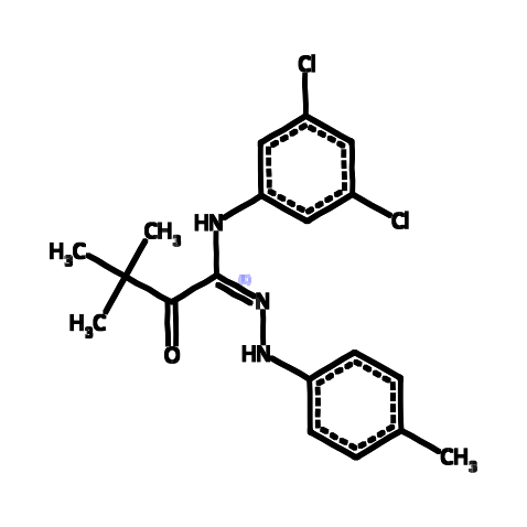 Cc1ccc(N/N=C(/Nc2cc(Cl)cc(Cl)c2)C(=O)C(C)(C)C)cc1